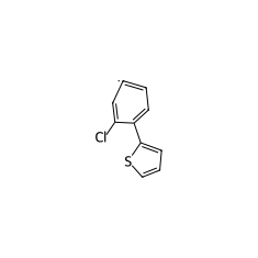 Clc1c[c]ccc1-c1cccs1